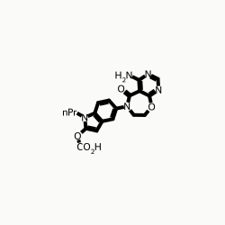 CCCn1c(OC(=O)O)cc2cc(N3CCOc4ncnc(N)c4C3=O)ccc21